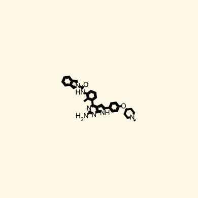 Cc1c(NC(=O)n2cc3ccccc3c2)cccc1-c1nc(N)nc2[nH]c(-c3ccc(OC4CCN(C)CC4)cc3)cc12